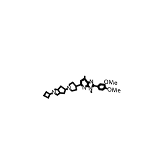 COc1ccc(-c2nc3c(C)cc(C4CCN(C5CC6CN(C7CCC7)CC6C5)CC4)nc3n2C)cc1OC